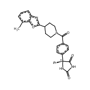 Cc1cccc2nc(C3CCN(C(=O)c4ccc([C@@]5(C(C)C)NC(=O)NC5=O)cc4)CC3)oc12